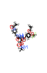 C[C@H](OC(=O)NC(C)(C)C)c1oc(-c2ccc(OC(F)F)c(OCC3CC3)c2)nc1C(=O)NCC1CCN(C(=O)C2CC2)CC1